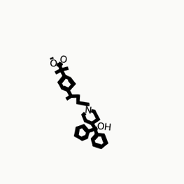 COC(=O)C(C)(C)c1ccc(C(C)CCCN2CCC(C(O)(c3ccccc3)c3ccccc3)CC2)cc1